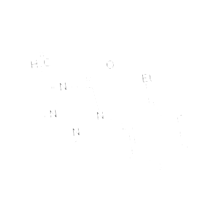 CCc1ccccc1-n1nnn(C)c1=O